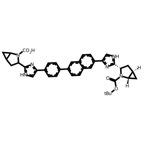 CC(C)(C)OC(=O)N1[C@H](c2nc(-c3ccc4cc(-c5ccc(-c6c[nH]c(C7CC8CC8N7C(=O)O)n6)cc5)ccc4c3)c[nH]2)C[C@H]2C[C@@H]21